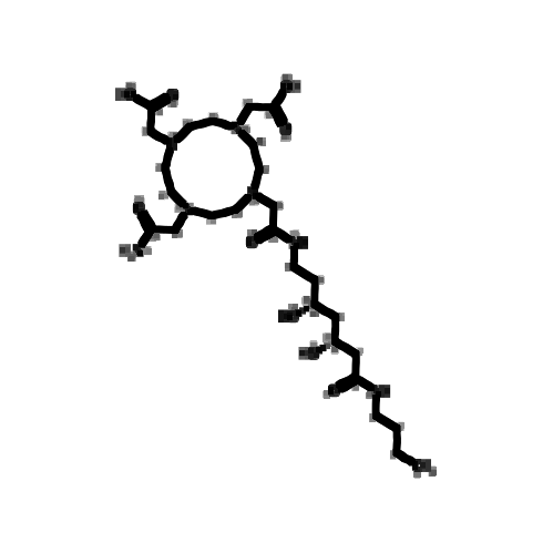 CCCCNC(=O)C[C@H](O)C[C@H](O)CCNC(=O)CN1CCN(CC(N)=O)CCN(CC(=O)O)CCN(CC(=O)O)CC1